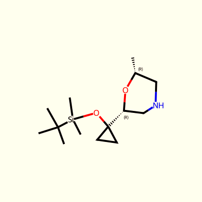 C[C@@H]1CNC[C@H](C2(O[Si](C)(C)C(C)(C)C)CC2)O1